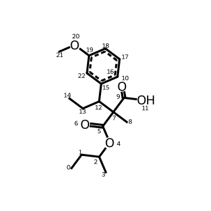 CCC(C)OC(=O)C(C)(C(=O)O)C(CC)c1cccc(OC)c1